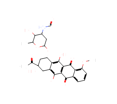 COc1cccc2c1C(=O)c1c(O)c3c(c(O)c1C2=O)C[C@@](O)(C(C)=O)C[C@@H]3OC1CC(NC=O)C(O)C(C)O1